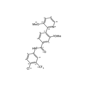 COc1cc(C(=O)Nc2ccc(Cl)c(C(F)(F)F)c2)ccc1-c1ncccc1OC